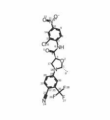 C[C@H]1O[C@H](C(=O)Nc2ccc([N+](=O)[O-])cc2Cl)CN1c1ccc(C#N)c(C(F)(F)F)c1